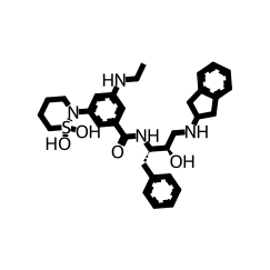 CCNc1cc(C(=O)N[C@@H](Cc2ccccc2)[C@H](O)CNC2Cc3ccccc3C2)cc(N2CCCCS2(O)O)c1